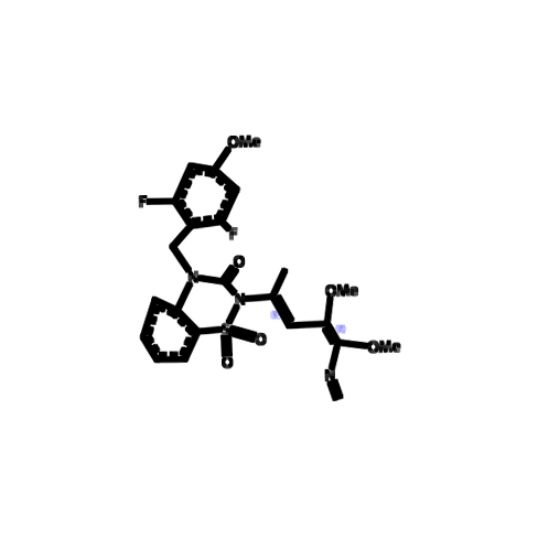 C=N/C(OC)=C(\C=C(/C)N1C(=O)N(Cc2c(F)cc(OC)cc2F)c2ccccc2S1(=O)=O)OC